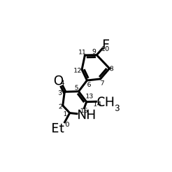 CCC1CC(=O)C(c2ccc(F)cc2)=C(C)N1